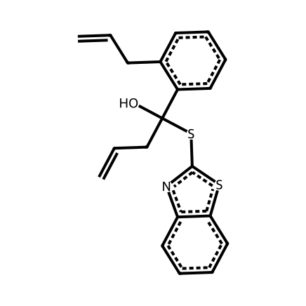 C=CCc1ccccc1C(O)(CC=C)Sc1nc2ccccc2s1